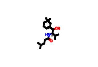 CC(C)CCC(=O)N[C@H](C(C)C)C(O)C1=CCCC(C)(C)C1